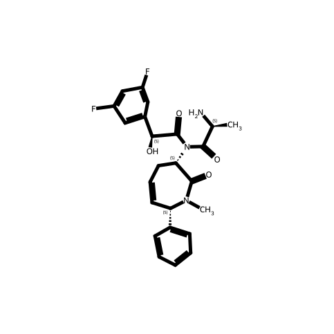 C[C@H](N)C(=O)N(C(=O)[C@@H](O)c1cc(F)cc(F)c1)[C@H]1CC=C[C@@H](c2ccccc2)N(C)C1=O